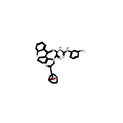 Nc1cccc(NC(=O)N[C@@H]2N=C(c3ccccc3F)c3ccccc3N(CC(=O)N3CC4CCC(CC4)C3)C2=O)c1